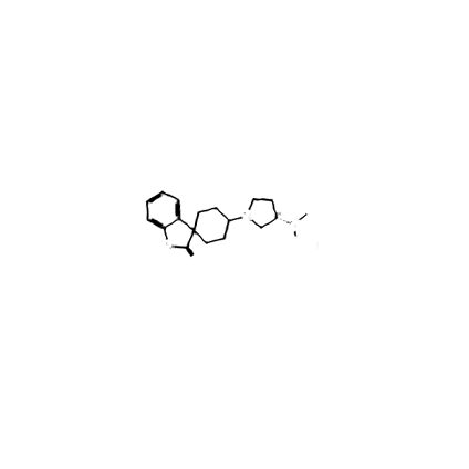 CN(C(=O)O)[C@@H]1CCN(C2CCC3(CC2)C(=O)Nc2ccccc23)C1